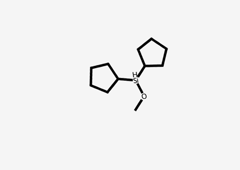 CO[SiH](C1CCCC1)C1CCCC1